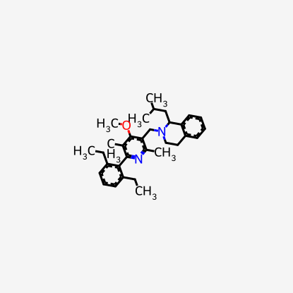 CCc1cccc(CC)c1-c1nc(C)c(CN2CCc3ccccc3C2CC(C)C)c(OC)c1C